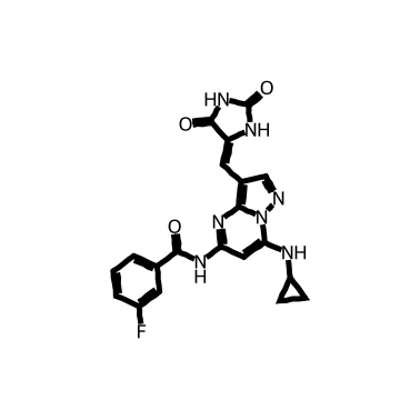 O=C1NC(=O)/C(=C/c2cnn3c(NC4CC4)cc(NC(=O)c4cccc(F)c4)nc23)N1